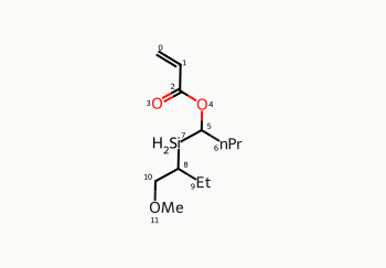 C=CC(=O)OC(CCC)[SiH2]C(CC)COC